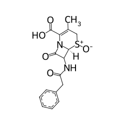 CC1=C(C(=O)O)N2C(=O)C(NC(=O)Cc3ccccc3)[C@@H]2[S+]([O-])C1